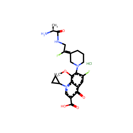 COc1c(N2CCCC(=C(F)CNC(=O)[C@H](C)N)C2)c(F)cc2c(=O)c(C(=O)O)cn(C3CC3)c12.Cl